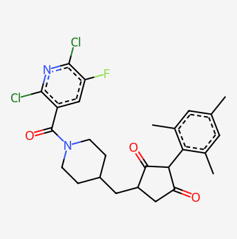 Cc1cc(C)c(C2C(=O)CC(CC3CCN(C(=O)c4cc(F)c(Cl)nc4Cl)CC3)C2=O)c(C)c1